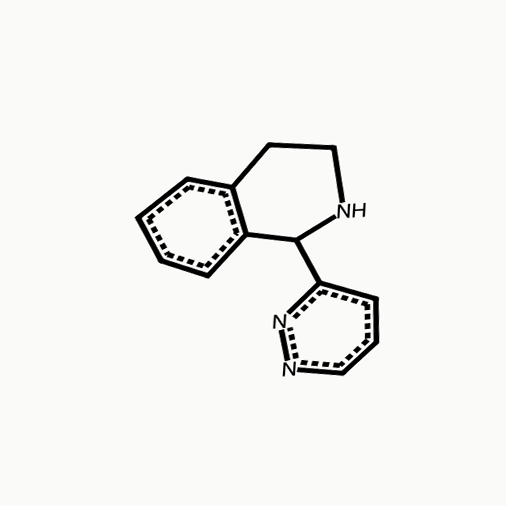 c1cnnc(C2NCCc3ccccc32)c1